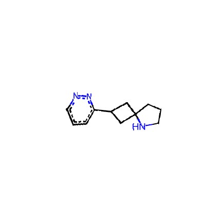 c1cnnc(C2CC3(CCCN3)C2)c1